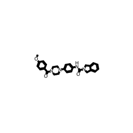 COc1ccc(C(=O)N2CCN(c3ccc(NC(=O)N4Cc5ccccc5C4)cc3)CC2)cc1